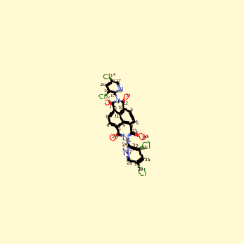 O=C1c2ccc3c4c(ccc(c24)C(=O)N1c1ncc(Cl)cc1Cl)C(=O)N(c1ncc(Cl)cc1Cl)C3=O